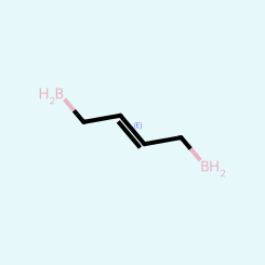 BC/C=C/CB